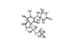 [2H]c1c(C[C@]2([2H])NC(=O)OC2([2H])[2H])c([2H])c2c(C([2H])([2H])CN(C)C([2H])([2H])[2H])c[nH]c2c1[2H]